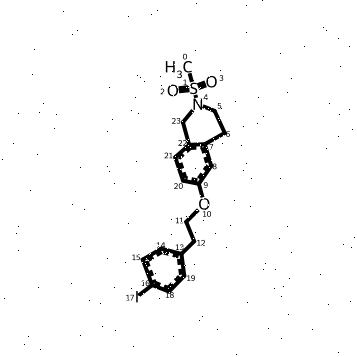 CS(=O)(=O)N1CCc2cc(OCCc3ccc(I)cc3)ccc2C1